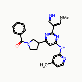 CN/C=C(\C=N)c1nc(Nc2cc(C)ccn2)cc(C2CCN(C(=O)c3ccccc3)C2)n1